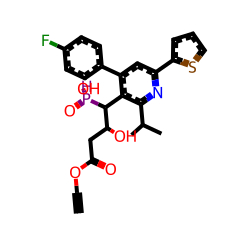 C#COC(=O)CC(O)C(c1c(-c2ccc(F)cc2)cc(-c2cccs2)nc1C(C)C)[PH](=O)O